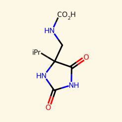 CC(C)C1(CNC(=O)O)NC(=O)NC1=O